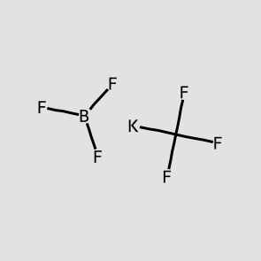 FB(F)F.F[C](F)(F)[K]